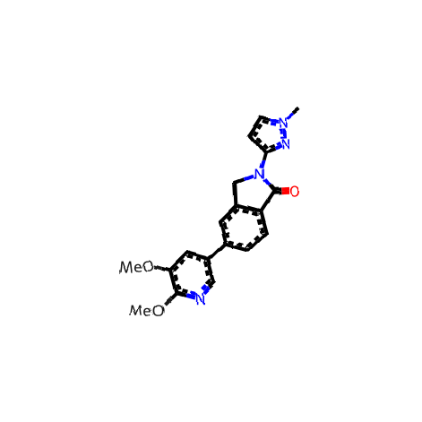 COc1cc(-c2ccc3c(c2)CN(c2ccn(C)n2)C3=O)cnc1OC